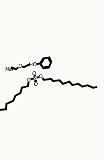 CCCCCCCCCCCCOS(=O)(=O)OCCCCCCCC.CCOCC.Oc1ccccc1.[NaH]